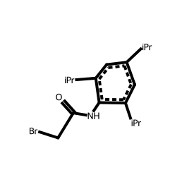 CC(C)c1cc(C(C)C)c(NC(=O)CBr)c(C(C)C)c1